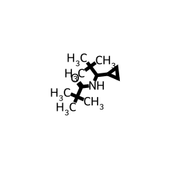 CC(C)(C)C(=O)NC(C1CC1)C(C)(C)C